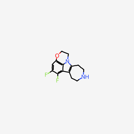 Fc1cc2c3c(c1F)c1c(n3CCO2)CCNCC1